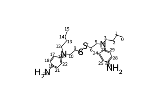 CCCCN(CCSSCCN(CCCC)c1ccc(N)cc1)c1ccc(N)cc1